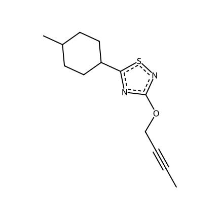 CC#CCOc1nsc(C2CCC(C)CC2)n1